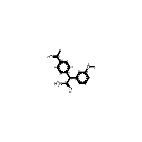 COc1cccc(C(C(N)=O)c2ccc(C(C)=O)cc2)c1